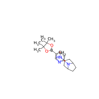 CNC1CC2CCC(C1)N2c1ccc(B2OC(C)(C)C(C)(C)O2)cn1